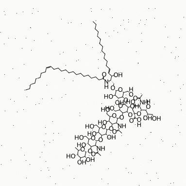 CCCCCCCC/C=C\CCCCCCCCCCCCCC(=O)N[C@@H](CO[C@@H]1OC(CO)[C@@H](O[C@@H]2OC(CO)[C@H](O[C@@H]3OC(CO)[C@H](O)[C@H](O[C@@H]4OC(CO)[C@H](O)[C@H](O[C@@H]5OC(CO)[C@@H](O)[C@H](O[C@H]6OC(C)[C@@H](O)C(O)[C@@H]6O)C5NC(C)=O)C4O)C3NC(C)=O)[C@H](O[C@]3(C(=O)O)CC(O)[C@@H](NC(C)=O)C([C@H](O)[C@H](O)CO)O3)C2O)[C@H](O)C1O)[C@H](O)/C=C/CCCCCCCCCCCCC